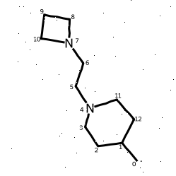 [CH2]C1CCN(CCN2CCC2)CC1